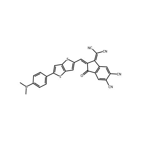 CN(C)c1ccc(-c2cc3sc(/C=C4\C(=O)c5cc(C#N)c(C#N)cc5C4=C(C#N)C#N)cc3s2)cc1